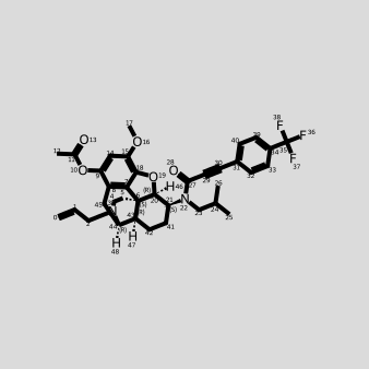 C=CCN1CC[C@]23c4c5c(OC(C)=O)cc(OC)c4O[C@H]2[C@@H](N(CC(C)C)C(=O)C#Cc2ccc(C(F)(F)F)cc2)CC[C@H]3[C@H]1C5